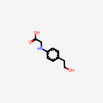 O=C(O)CNc1ccc(CCO)cc1